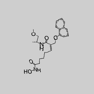 COCC(C)NC(=O)C(=CCCCCC(=O)NO)COc1cccc2ccccc12